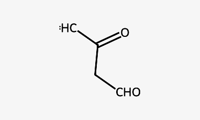 [CH]C(=O)CC=O